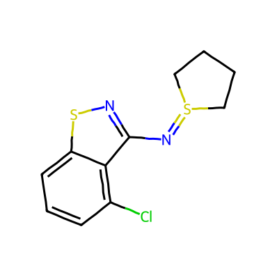 Clc1cccc2snc(N=S3CCCC3)c12